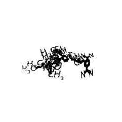 CCCCC(CC)n1nc(OCC)c(C2=C(O)/C(=C3C=C/C(=[N+](/CC)CCOC(=O)CCc4cc(=C(C#N)C#N)ccc4=C(C#N)C#N)C=C/3NC(=O)C(C)(C)C)C2=O)c1O